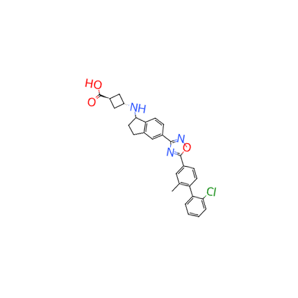 Cc1cc(-c2nc(-c3ccc4c(c3)CCC4N[C@H]3C[C@H](C(=O)O)C3)no2)ccc1-c1ccccc1Cl